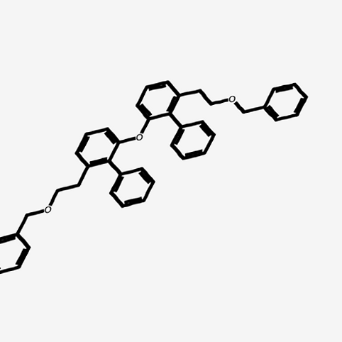 c1ccc(COCCc2cccc(Oc3cccc(CCOCc4ccccc4)c3-c3ccccc3)c2-c2ccccc2)cc1